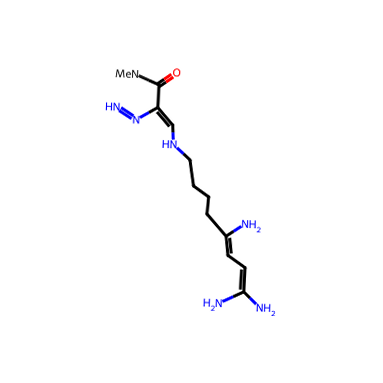 CNC(=O)/C(=C/NCCCC/C(N)=C/C=C(N)N)N=N